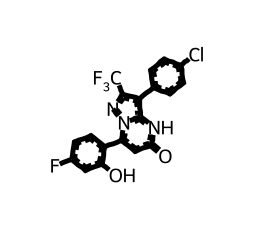 O=c1cc(-c2ccc(F)cc2O)n2nc(C(F)(F)F)c(-c3ccc(Cl)cc3)c2[nH]1